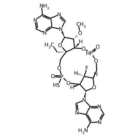 CC[C@@]12COP(=O)(S)O[C@@H]3[C@@H](F)[C@@H](CO[PH](=O)O[C@H]1[C@@H](OC)[C@H](n1cnc4c(N)ncnc41)O2)O[C@H]3n1cnc2c(N)ncnc21